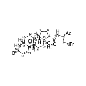 CC(=O)C(CC(C)C)NC(=O)[C@H]1CC[C@H]2[C@@H]3CC[C@H]4NC(=O)C=C[C@]4(C)[C@H]3CC[C@]12C